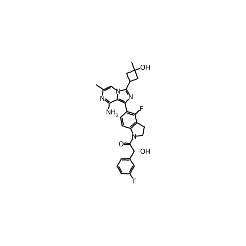 Cc1cn2c(C3CC(C)(O)C3)nc(-c3ccc4c(c3F)CCN4C(=O)[C@H](O)c3cccc(F)c3)c2c(N)n1